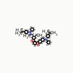 C=Cc1cc2c(cc1/C=C(\C)N(c1ccccc1)c1ccc(C(C)C)cc1)oc1ccc3oc4cc5cc(N(c6ccccc6)c6ccc(C(C)C)cc6)ccc5cc4c3c12